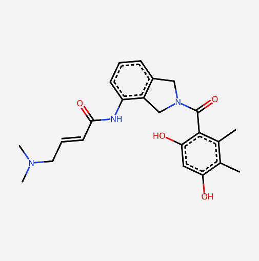 Cc1c(O)cc(O)c(C(=O)N2Cc3cccc(NC(=O)/C=C/CN(C)C)c3C2)c1C